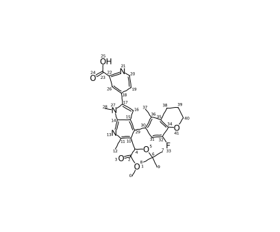 COC(=O)C(OC(C)(C)C)c1c(C)nc2c(cc(-c3ccnc(C(=O)O)c3)n2C)c1-c1cc(F)c2c(c1C)CCCO2